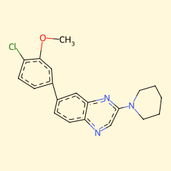 COc1cc(-c2ccc3ncc(N4CCCCC4)nc3c2)ccc1Cl